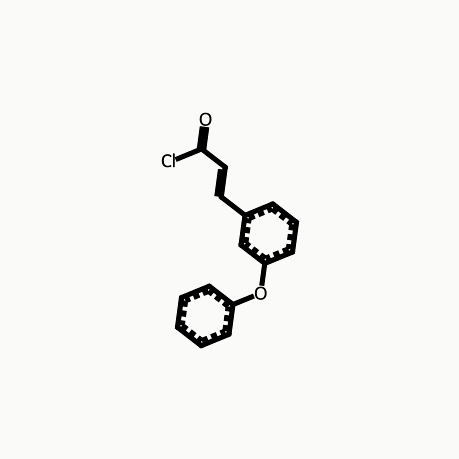 O=C(Cl)C=Cc1cccc(Oc2ccccc2)c1